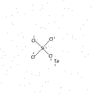 Cl[Si](Cl)(Cl)Cl.[Ta]